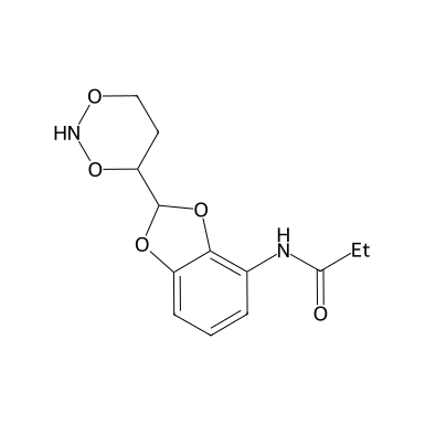 CCC(=O)Nc1cccc2c1OC(C1CCONO1)O2